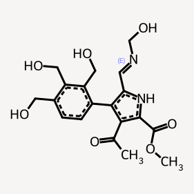 COC(=O)c1[nH]c(/C=N/CO)c(-c2ccc(CO)c(CO)c2CO)c1C(C)=O